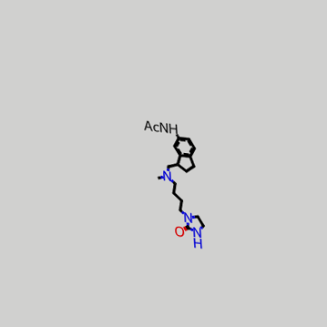 CC(=O)Nc1ccc2c(c1)C(CN(C)CCCCN1CCNC1=O)CC2